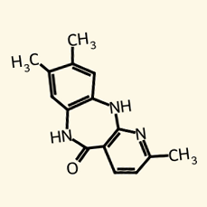 Cc1ccc2c(n1)Nc1cc(C)c(C)cc1NC2=O